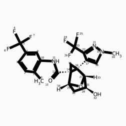 Cc1ccc(C(F)(F)F)cc1NC(=O)[C@]12C[C@@]1(c1cn(C)nc1C(F)(F)F)[C@H]1O[C@@H]2C[C@@H]1O